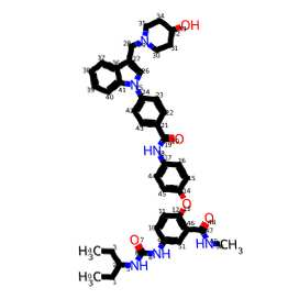 CCC(CC)NC(=O)Nc1ccc(Oc2ccc(NC(=O)c3ccc(-n4cc(CN5CCC(O)CC5)c5ccccc54)cc3)cc2)c(C(=O)NC)c1